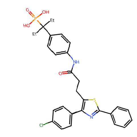 CCC(CC)(c1ccc(NC(=O)CCc2sc(-c3ccccc3)nc2-c2ccc(Cl)cc2)cc1)P(=O)(O)O